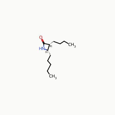 CCCCC[C@@H]1NC(=O)[C@@H]1CCCC